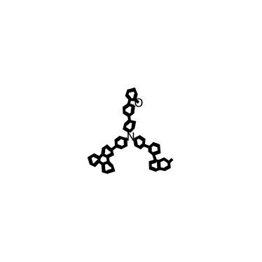 CC1C=Cc2cccc(-c3cccc(-c4ccc(N(c5ccc(-c6ccc7c(c6)oc6ccccc67)cc5)c5ccc(-c6ccc7c8ccccc8c8ccccc8c7c6)cc5)cc4)c3)c2C1